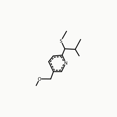 COCc1ccc(C(SC)C(C)C)nc1